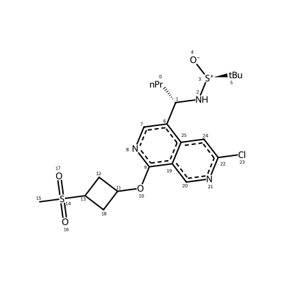 CCC[C@H](N[S@@+]([O-])C(C)(C)C)c1cnc(OC2CC(S(C)(=O)=O)C2)c2cnc(Cl)cc12